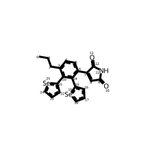 CCCc1ccc(C2=CC(=O)NC2=O)c(-c2ccc[se]2)c1-c1ccc[se]1